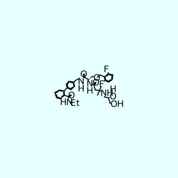 CCNC(=O)c1ccccc1-c1ccc(CNC(=O)[C@@H](COCc2c(F)cccc2F)NC(=O)CC(C)(C)NC[C@H](O)CO)cc1